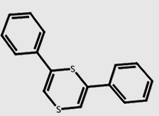 C1=C(c2ccccc2)SC(c2ccccc2)=CS1